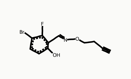 C#CCCON=Cc1c(O)ccc(Br)c1F